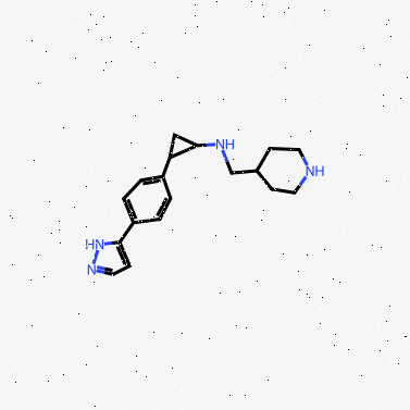 c1cc(-c2ccc(C3CC3NCC3CCNCC3)cc2)[nH]n1